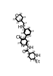 CC[C@@H]1CC[C@@H](C(=O)Nc2cc(-c3cccc(NCC4CCOCC4)c3)c(Cl)cn2)CN1